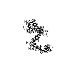 CC[C@H]([C@@H](C)C(=O)N[C@H](C)[C@@H](O)c1ccccc1)[C@@H]1CCCN1C(=O)C[C@@H](OC)[C@H]([C@@H](C)CC)N(C)C(=O)[C@@H](NC(=O)[C@H](C(C)C)N(C)C(=O)OCc1ccc(NC(=O)[C@H](C)NC(=O)[C@H](C)NC(=O)CCNC(=O)c2ccc(C#N)c(S(C)(=O)=O)n2)cc1)C(C)C